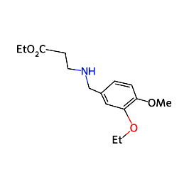 CCOC(=O)CCNCc1ccc(OC)c(OCC)c1